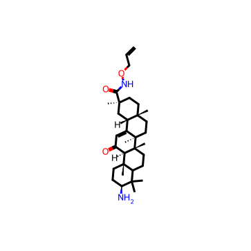 C=CCONC(=O)[C@@]1(C)CC[C@]2(C)CC[C@]3(C)C(=CC(=O)[C@@H]4[C@@]5(C)CC[C@H](N)C(C)(C)C5CC[C@]43C)[C@@H]2C1